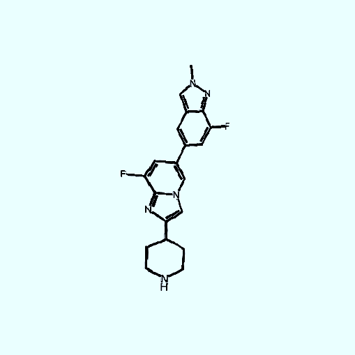 Cn1cc2cc(-c3cc(F)c4nc(C5CCNCC5)cn4c3)cc(F)c2n1